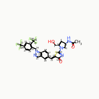 CC(=O)N[C@@H]1C[C@H](CO)N(C2=NC(=O)/C(=C/c3ccc4c(cnn4Cc4ccc(C(F)(F)F)cc4C(F)(F)F)c3)S2)C1